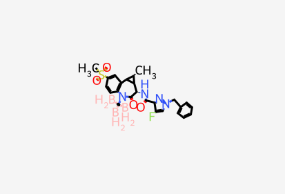 BC(B)(B)N1C(=O)[C@@H](NC(=O)c2nn(Cc3ccccc3)cc2F)C2C(c3cc(S(C)(=O)=O)ccc31)[C@@H]2C